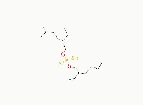 CCCCC(CC)COP(=S)(S)OCC(CC)CCC(C)C